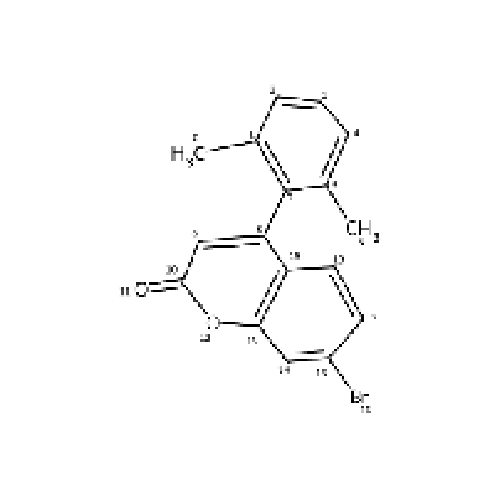 Cc1cccc(C)c1-c1cc(=O)oc2cc(Br)ccc12